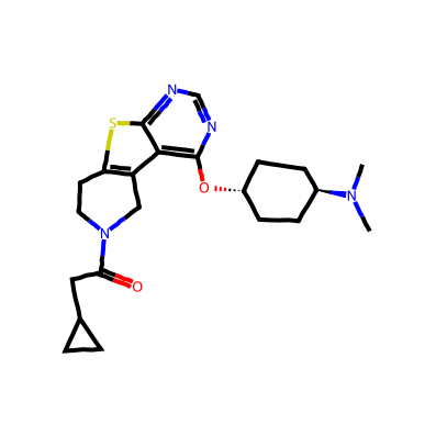 CN(C)[C@H]1CC[C@H](Oc2ncnc3sc4c(c23)CN(C(=O)CC2CC2)CC4)CC1